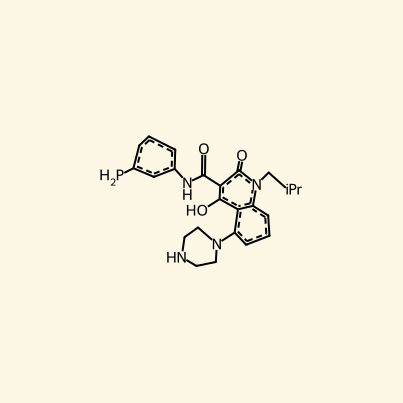 CC(C)Cn1c(=O)c(C(=O)Nc2cccc(P)c2)c(O)c2c(N3CCNCC3)cccc21